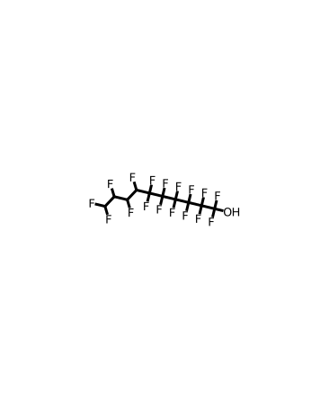 OC(F)(F)C(F)(F)C(F)(F)C(F)(F)C(F)(F)C(F)(F)C(F)C(F)C(F)C(F)F